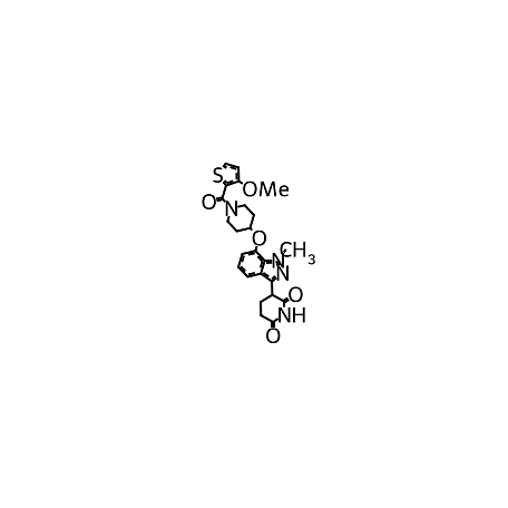 COc1ccsc1C(=O)N1CCC(Oc2cccc3c(C4CCC(=O)NC4=O)nn(C)c23)CC1